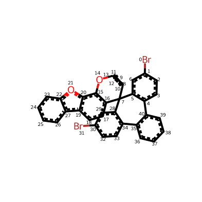 Brc1ccc2c(c1)C1(c3ccccc3Oc3c1ccc1c3oc3ccccc31)c1cc(Br)ccc1-c1ccccc1-2